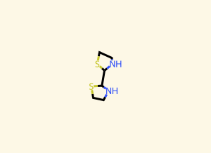 C1CSC(C2NCCS2)N1